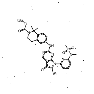 CC(C)n1c(=O)c2cnc(Nc3ccc4c(c3)CCN(C(=O)OC(C)(C)C)C4(C)C)nc2n1-c1cccc(N(C)S(C)(=O)=O)n1